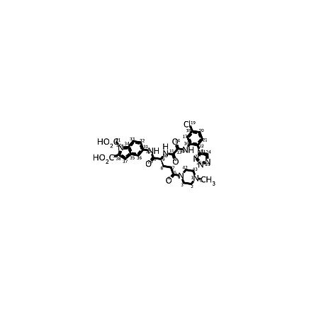 CN1CCN(C(=O)CC[C@H](NC(=O)C(=O)Nc2cc(Cl)ccc2-n2cnnn2)C(=O)Nc2ccc3c(c2)cc(C(=O)O)n3C(=O)O)CC1